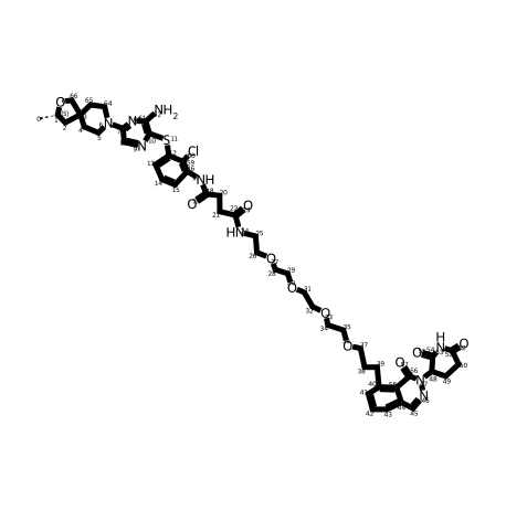 C[C@H]1CC2(CCN(c3cnc(Sc4cccc(NC(=O)CCC(=O)NCCOCCOCCOCCOCCCc5cccc6cnn(C7CCC(=O)NC7=O)c(=O)c56)c4Cl)c(N)n3)CC2)CO1